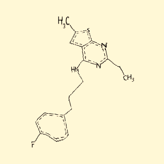 CCc1nc(NCCCc2ccc(F)cc2)c2cc(C)sc2n1